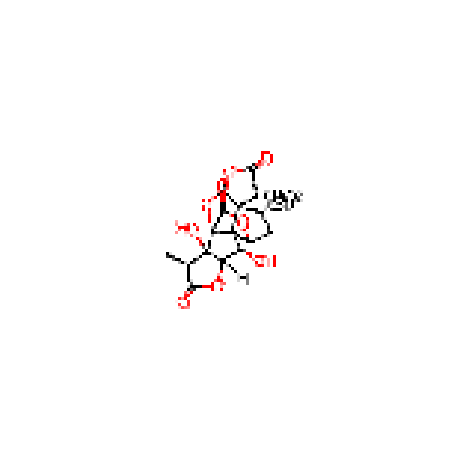 C[C@@H]1C(=O)O[C@H]2[C@H](O)C34C5C[C@@H](C(C)(C)C)C36C(OC(=O)[C@@H]6O[11CH3])O[C@]4(C(=O)O5)[C@@]12O